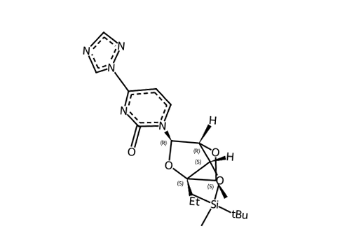 CC[C@]12O[C@@H](n3ccc(-n4cncn4)nc3=O)[C@H](O[C@H]1C)[C@@H]2O[Si](C)(C)C(C)(C)C